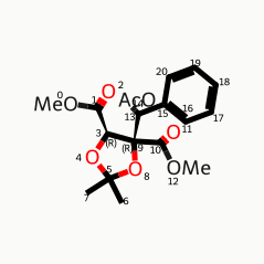 COC(=O)[C@@H]1OC(C)(C)O[C@]1(C(=O)OC)C(OC(C)=O)c1ccccc1